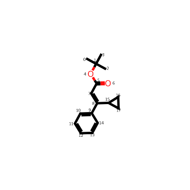 CC(C)(C)OC(=O)C=C(c1ccccc1)C1CC1